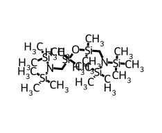 C[Si](C)(CN([Si](C)(C)C)[Si](C)(C)C)O[Si](C)(C)CN([Si](C)(C)C)[Si](C)(C)C